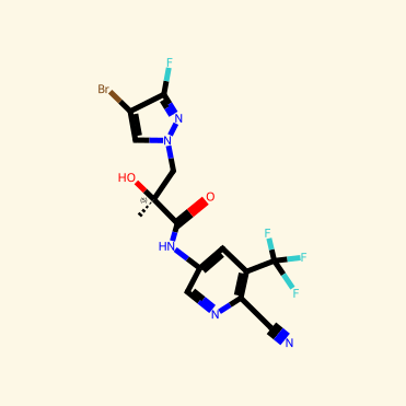 C[C@](O)(Cn1cc(Br)c(F)n1)C(=O)Nc1cnc(C#N)c(C(F)(F)F)c1